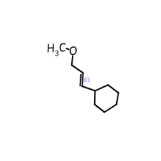 COC/C=C/C1CCCCC1